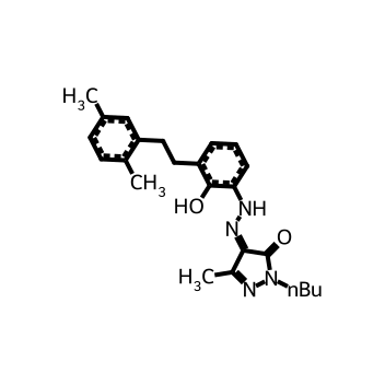 CCCCN1N=C(C)/C(=N/Nc2cccc(CCc3cc(C)ccc3C)c2O)C1=O